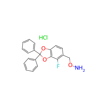 Cl.NOCc1ccc2c(c1F)OC(c1ccccc1)(c1ccccc1)O2